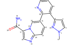 Cn1ccc(-c2cccnc2-c2ccc3ncc(C(N)=O)n3c2)n1